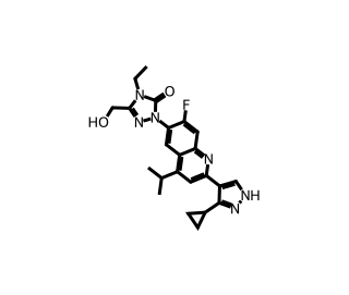 CCn1c(CO)nn(-c2cc3c(C(C)C)cc(-c4c[nH]nc4C4CC4)nc3cc2F)c1=O